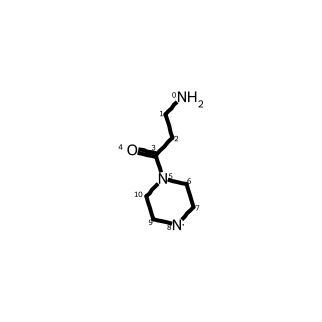 NCCC(=O)N1CC[N]CC1